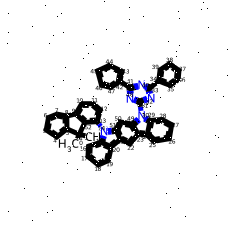 CC1(C)c2ccccc2-c2cccc(-n3c4ccccc4c4cc5c6ccccc6n(-c6nc(-c7ccccc7)nc(-c7ccccc7)n6)c5cc43)c21